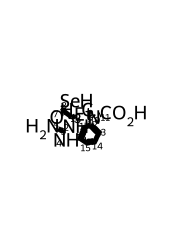 CCC(NC(=N)N)C(=O)[SeH].CN(C(=O)O)c1ccccc1